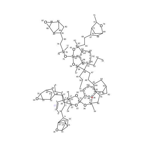 C/C=C\C(CCC)(CCC1CC2CC13CC2O3)[Si](C)(C)O[Si](O[Si](C)(C)CCC1CC2CC1C1OC21)(O[Si](C)(C)CC1CC2CC(CCC(CCC)(CCCC)[Si](C)(C)O[Si](O[Si](C)(C)CCC3CC4CC3C(C)O4)(O[Si](C)(C)CCC3CC4CC3C3OC43)c3ccccc3)C1C2)c1ccccc1